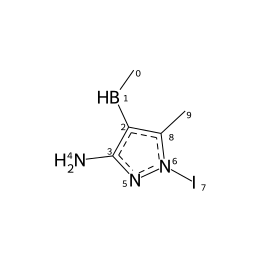 CBc1c(N)nn(I)c1C